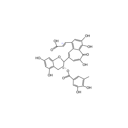 Cc1cc(C(=O)O[C@@H]2Cc3c(O)cc(O)cc3OC2c2cc(O)c(=O)c3c(O)c(O)cc(/C=C/C(=O)O)c3c2)cc(O)c1O